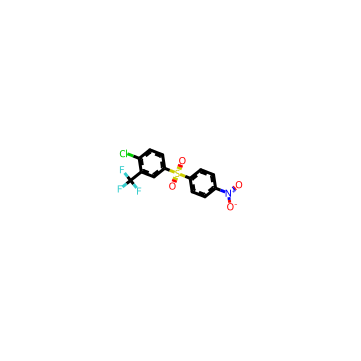 O=[N+]([O-])c1ccc(S(=O)(=O)c2ccc(Cl)c(C(F)(F)F)c2)cc1